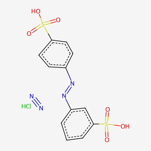 Cl.N#N.O=S(=O)(O)c1ccc(N=Nc2cccc(S(=O)(=O)O)c2)cc1